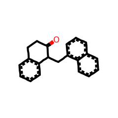 O=C1CCc2ccccc2C1Cc1cccc2ccccc12